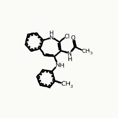 CC(=O)NC1=C(Cl)Nc2ccccc2C=C1Nc1ccccc1C